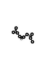 c1ccc(-c2ccc3c(c2)c2ccccc2n3-c2cccc(-c3ccc4oc5ccc(-c6ccc7c(c6)c6ccccc6n7-c6ccccc6)cc5c4c3)c2)cc1